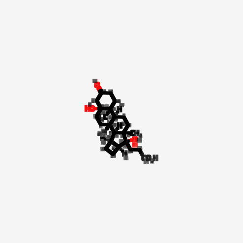 C[C@]12CC[C@H]3[C@@H](CC[C@]4(O)CC(=O)CC[C@]34C)[C@@H]1[C@@H]1CC[C@@H]1[C@@]2(O)CCC(=O)O